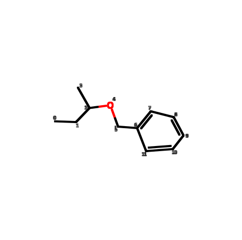 CCC(C)O[CH]c1ccccc1